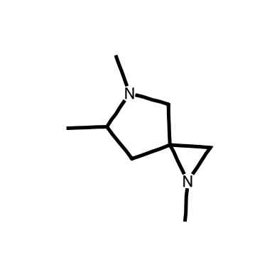 CC1CC2(CN1C)CN2C